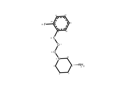 N[C@@H]1CCCN(OOSc2ccccc2F)C1